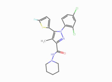 Cc1c(C(=O)NN2CCCCC2)nn(-c2ccc(Cl)cc2Cl)c1-c1ccc(F)s1